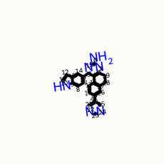 Nc1nc2c(c(-c3ccc4[nH]ccc4c3)n1)-c1ccc(-c3cncnc3)cc1CC2